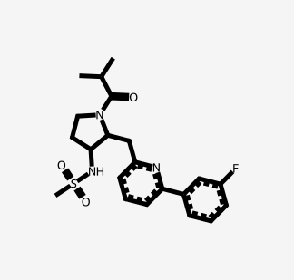 CC(C)C(=O)N1CCC(NS(C)(=O)=O)C1Cc1cccc(-c2cccc(F)c2)n1